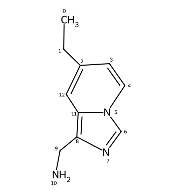 CCc1ccn2cnc(CN)c2c1